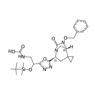 CC(C)(C)[Si](C)(C)OC(CNC(=O)O)c1nnc([C@@H]2CC3(CC3)[C@@H]3CN2C(=O)N3OCc2ccccc2)o1